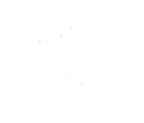 O=C(O)Cn1c(SCCCCC(=O)N(Cc2ccccc2)c2ccccc2)nc2ccccc21